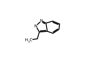 CCC1=c2ccccc2=N[N]1